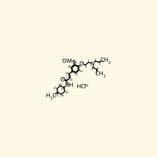 C=CCN(CC=C)CCOc1ccc(/C=C/C(=O)NC2CCC(C)CC2)cc1OC.Cl